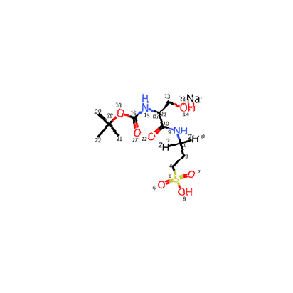 [2H]C([2H])(CCS(=O)(=O)O)NC(=O)[C@H](CO)NC(=O)OC(C)(C)C.[Na]